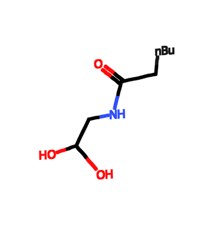 CCCCCC(=O)NCC(O)O